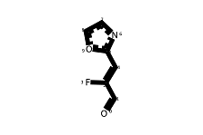 O=CC(F)=Cc1ncco1